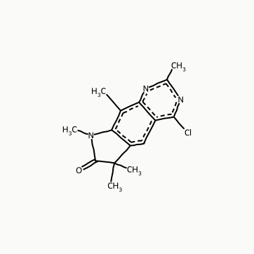 Cc1nc(Cl)c2cc3c(c(C)c2n1)N(C)C(=O)C3(C)C